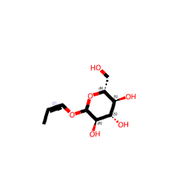 C/C=C\OC1O[C@H](CO)[C@@H](O)[C@H](O)[C@H]1O